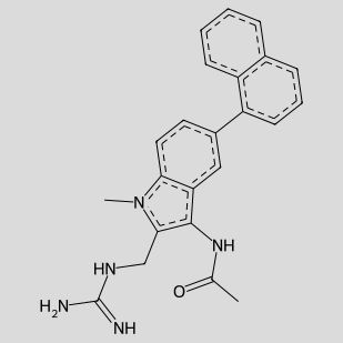 CC(=O)Nc1c(CNC(=N)N)n(C)c2ccc(-c3cccc4ccccc34)cc12